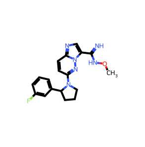 CONC(=N)c1cnc2ccc(N3CCCC3c3cccc(F)c3)nn12